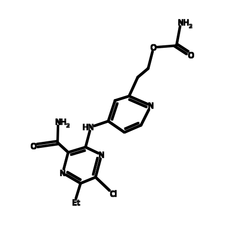 CCc1nc(C(N)=O)c(Nc2ccnc(CCOC(N)=O)c2)nc1Cl